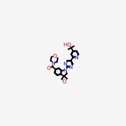 CC(C)(O)c1ccnc(-c2cnc(N3CC4(COC4)c4ccc(C(=O)N5CCOCC5)cc43)nc2)c1